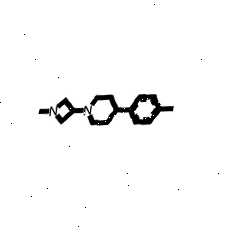 Cc1ccc(C2CCN(C3CN(C)C3)CC2)cc1